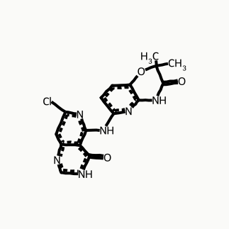 CC1(C)Oc2ccc(Nc3nc(Cl)cc4nc[nH]c(=O)c34)nc2NC1=O